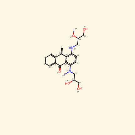 C=C1C2=CCCC=C2C(=O)c2c(N(I)CC(O)CO)ccc(NCC(CO)OI)c21